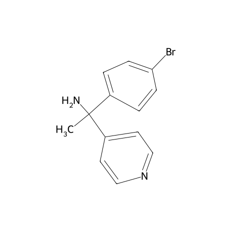 CC(N)(c1ccncc1)c1ccc(Br)cc1